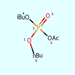 CCCCOP(=O)(OCC(C)C)OC(C)=O